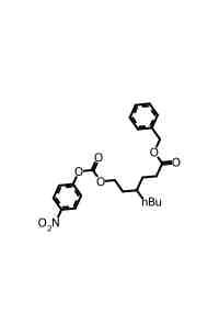 CCCCC(CCOC(=O)Oc1ccc([N+](=O)[O-])cc1)CCC(=O)OCc1ccccc1